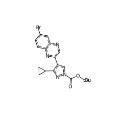 CC(C)(C)OC(=O)n1cc(-c2cnc3cc(Br)ccc3n2)c(C2CC2)n1